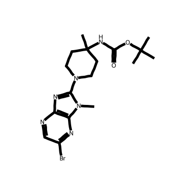 Cn1c(N2CCC(C)(NC(=O)OC(C)(C)C)CC2)nc2ncc(Br)nc21